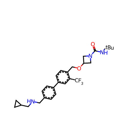 CC(C)(C)NC(=O)N1CC(OCc2ccc(-c3ccc(CNCC4CC4)cc3)cc2C(F)(F)F)C1